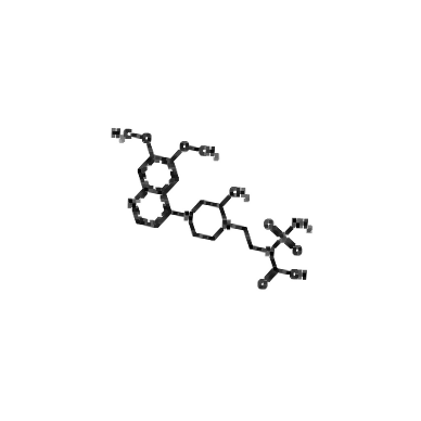 COc1cc2nccc(N3CCN(CCN(C(=O)O)S(N)(=O)=O)C(C)C3)c2cc1OC